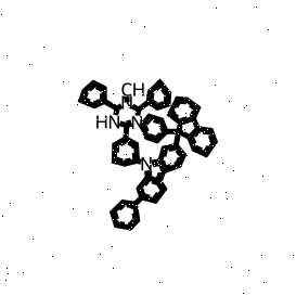 CN1C(c2ccccc2)N=C(c2cccc(-n3c4cc(-c5ccccc5)ccc4c4ccc(C5(c6ccccc6)c6ccccc6-c6ccccc65)cc43)c2)NC1c1ccccc1